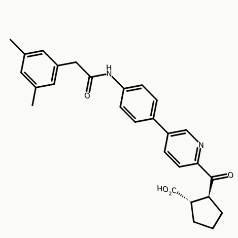 Cc1cc(C)cc(CC(=O)Nc2ccc(-c3ccc(C(=O)[C@H]4CCC[C@@H]4C(=O)O)nc3)cc2)c1